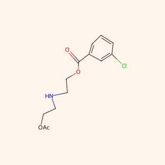 CC(=O)OCCNCCOC(=O)c1cccc(Cl)c1